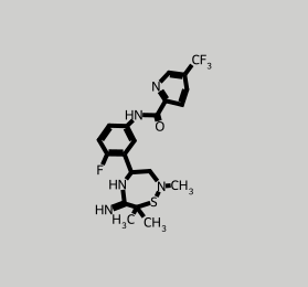 CN1CC(c2cc(NC(=O)c3ccc(C(F)(F)F)cn3)ccc2F)NC(=N)C(C)(C)S1